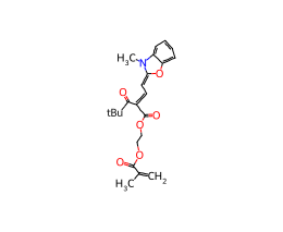 C=C(C)C(=O)OCCOC(=O)/C(=C/C=C1\Oc2ccccc2N1C)C(=O)C(C)(C)C